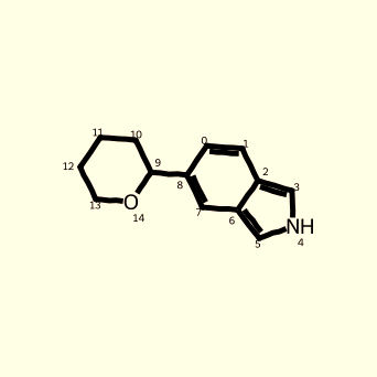 c1cc2c[nH]cc2cc1C1CCCCO1